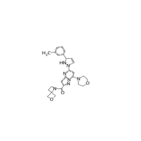 Cc1cccc(C2C=CN(c3cc(N4CCOCC4)n4nc(C(=O)N5CCC56COC6)cc4n3)N2)c1